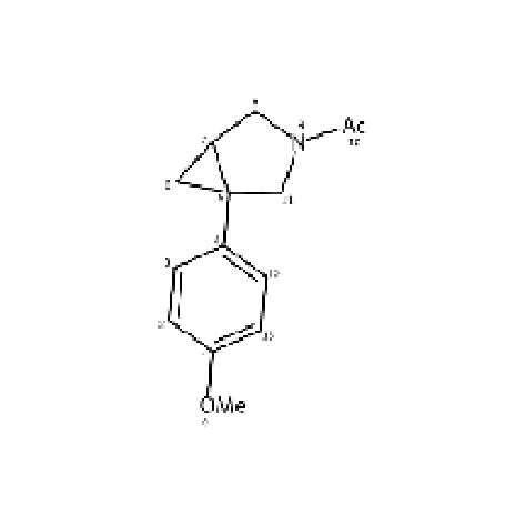 COc1ccc(C23CC2CN(C(C)=O)C3)cc1